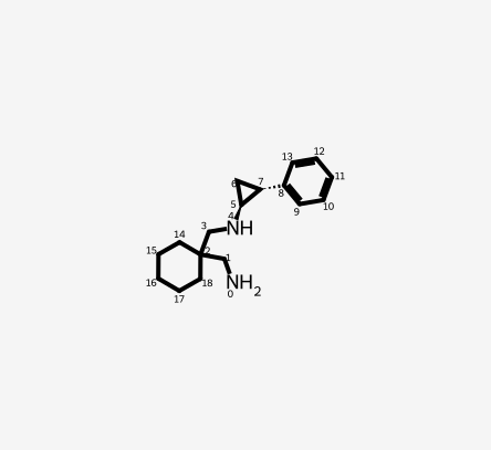 NCC1(CN[C@H]2C[C@@H]2c2ccccc2)CCCCC1